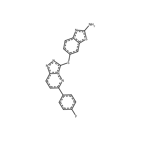 Nc1nc2ccc(Sc3nnc4ccc(-c5ccc(F)cc5)nn34)cc2s1